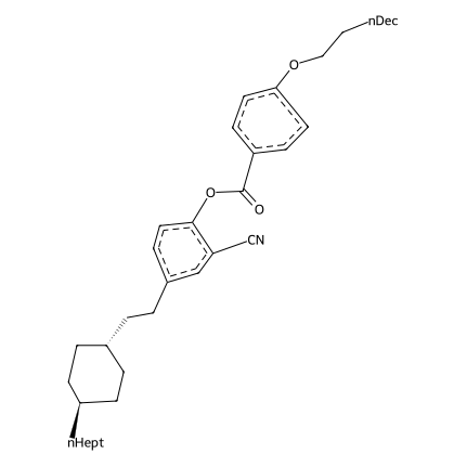 CCCCCCCCCCCCOc1ccc(C(=O)Oc2ccc(CC[C@H]3CC[C@H](CCCCCCC)CC3)cc2C#N)cc1